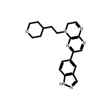 C1=Nc2ncc(-c3ccc4[nH]ncc4c3)nc2N(CCC2CCOCC2)C1